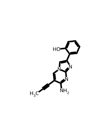 CC#Cc1cn2cc(-c3ccccc3O)nc2nc1N